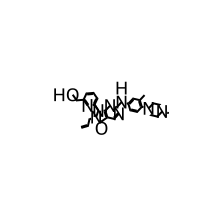 C=CCn1c(=O)c2cnc(Nc3ccc(N4CCN(C)CC4)c(C)c3)nc2n1-c1cccc(CO)n1